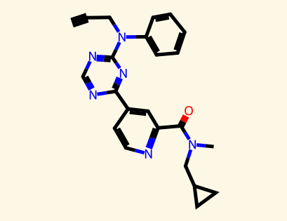 C#CCN(c1ccccc1)c1ncnc(-c2ccnc(C(=O)N(C)CC3CC3)c2)n1